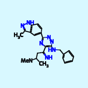 CNC(C)CC(=N)c1nc(-c2ccc3[nH]nc(C)c3c2)nnc1NCc1ccccc1